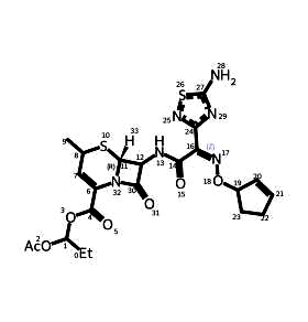 CCC(OC(C)=O)OC(=O)C1=CC(C)S[C@@H]2C(NC(=O)/C(=N\OC3C=CCC3)c3nsc(N)n3)C(=O)N12